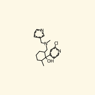 CC1CCCC(CN(C)Cc2cccnc2)C1(O)c1ccnc(Cl)c1